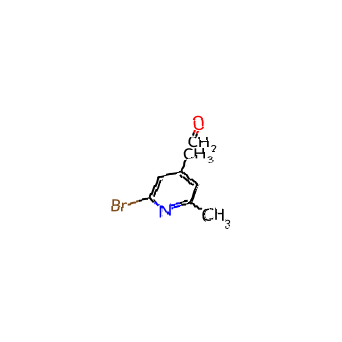 C=O.Cc1cc(C)nc(Br)c1